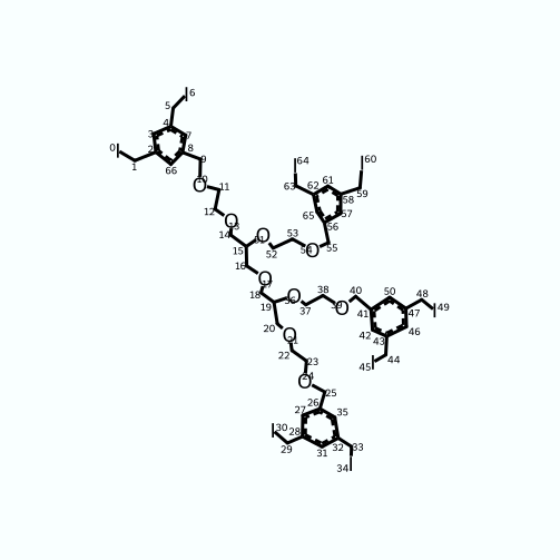 ICc1cc(CI)cc(COCCOCC(COCC(COCCOCc2cc(CI)cc(CI)c2)OCCOCc2cc(CI)cc(CI)c2)OCCOCc2cc(CI)cc(CI)c2)c1